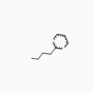 CCCCc1ncccn1.P.S